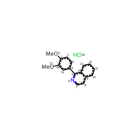 COc1ccc(-c2nccc3ccccc23)cc1OC.Cl